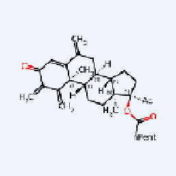 C=C1C[C@@H]2[C@H](CC[C@@]3(C)[C@H]2CC[C@]3(OC(=O)CCCCC)C(C)=O)[C@@]2(C)C(=C)C(=C)C(=O)C=C12